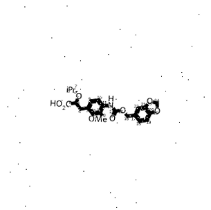 COc1cc(CC(OC(C)C)C(=O)O)ccc1NC(=O)OCc1ccc2c(c1)OCO2